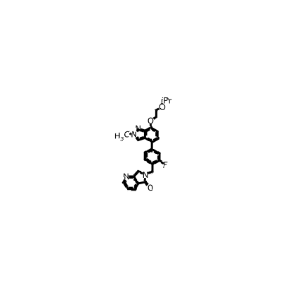 CC(C)OCCOc1ccc(-c2ccc(CN3Cc4ncccc4C3=O)c(F)c2)c2cn(C)nc12